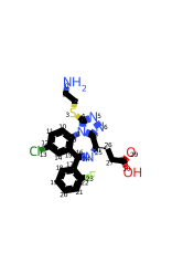 NCCSc1nnc2n1-c1ccc(Cl)cc1C(c1ccccc1F)=N[C@H]2CCC(=O)O